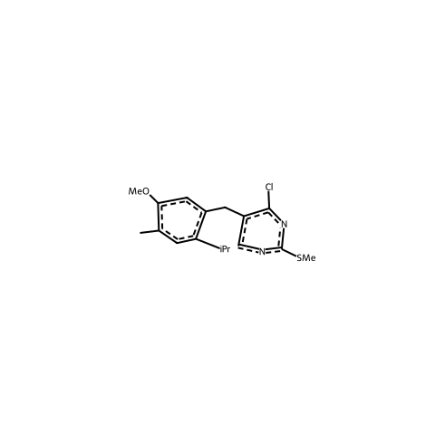 COc1cc(Cc2cnc(SC)nc2Cl)c(C(C)C)cc1C